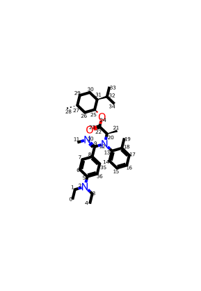 CCN(CC)c1ccc(/C(=N\C)N(c2ccccc2C)[C@H](C)C(=O)O[C@@H]2C[C@H](C)CC[C@H]2C(C)C)cc1